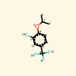 CC(C)Oc1ccc(C(F)(F)F)cc1F